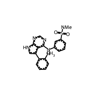 CNS(=O)(=O)c1cccc(Nc2ncnc3[nH]cc(-c4ccccc4C)c23)c1